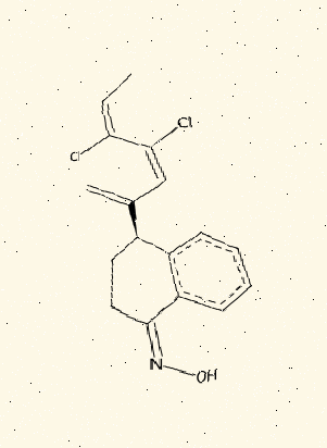 C=C(/C=C(Cl)\C(Cl)=C/C)[C@@H]1CC/C(=N/O)c2ccccc21